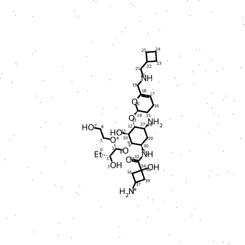 CC[C@@H](O)[C@H](OCCO)O[C@@H]1[C@@H](O)[C@H](O[C@@H]2CCC=C(CNCC3CCC3)O2)[C@@H](N)C[C@H]1NC(=O)C1(O)CC(N)C1